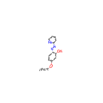 CCCCCOc1ccc(N=Nc2ccccn2)c(O)c1